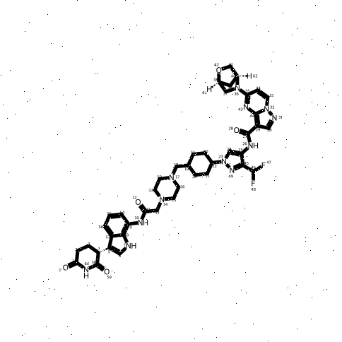 O=C1CC[C@H](c2c[nH]c3c(NC(=O)CN4CCN(CC5CCC(n6cc(NC(=O)c7cnn8ccc(N9C[C@@H]%10C[C@H]9CO%10)nc78)c(C(F)F)n6)CC5)CC4)cccc23)C(=O)N1